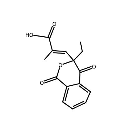 CCC1(C=C(C)C(=O)O)OC(=O)c2ccccc2C1=O